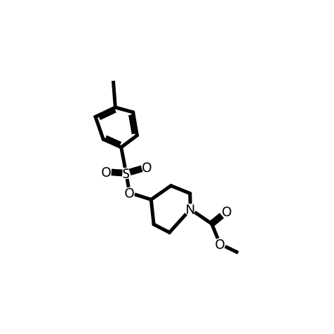 COC(=O)N1CCC(OS(=O)(=O)c2ccc(C)cc2)CC1